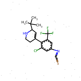 CC(C)(C)C1C=C(c2c(Cl)cc(N=C=S)cc2C(F)(F)F)CCN1